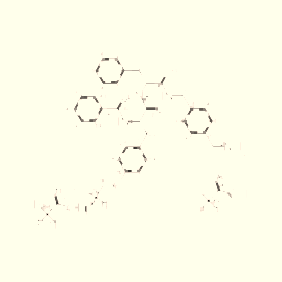 NCc1ccc(CNC(=O)[C@H](Cc2ccccc2)NC(=O)[C@@H](Cc2ccc(OCC(F)(F)F)cc2)NC(=O)c2ccccc2)cc1.O=C(O)C(F)(F)F.O=C(O)C(F)(F)F